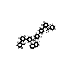 O=C1c2ccccc2-c2cccc(-c3ccc(-c4ccc(N(c5ccc(-c6cccc7c6oc6ccccc67)cc5)c5cccc6ccccc56)cc4)cc3)c21